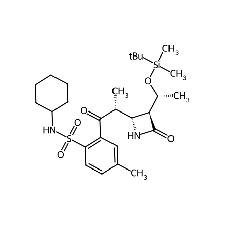 Cc1ccc(S(=O)(=O)NC2CCCCC2)c(C(=O)[C@H](C)[C@H]2NC(=O)[C@@H]2[C@@H](C)O[Si](C)(C)C(C)(C)C)c1